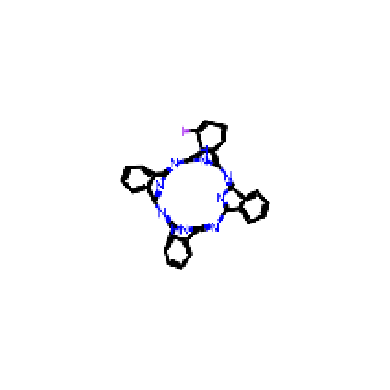 Ic1cccc2c3nc4nc(nc5[nH]c(nc6nc(nc([nH]3)c12)-c1ccccc1-6)c1ccccc51)-c1ccccc1-4